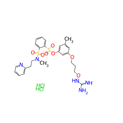 Cc1cc(OCCCONC(=N)N)cc(OS(=O)(=O)c2ccccc2S(=O)(=O)N(C)CCc2ccccn2)c1.Cl.Cl